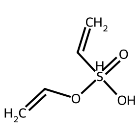 C=CO[SH](=O)(O)C=C